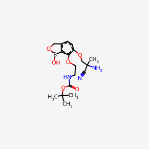 CC(N)(C#N)COc1ccc2c(c1OCCNC(=O)OC(C)(C)C)B(O)OC2